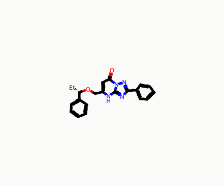 CC[C@H](OCc1cc(=O)n2nc(-c3ccccc3)nc2[nH]1)c1ccccc1